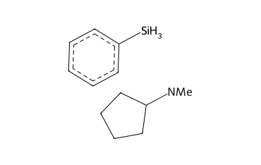 CNC1CCCC1.[SiH3]c1ccccc1